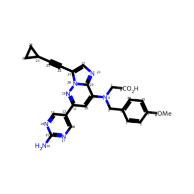 COc1ccc(CN(CC(=O)O)c2cc(-c3cnc(N)nc3)nn3c(C#CC4CC4)cnc23)cc1